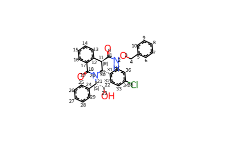 O=C(NOCc1ccccc1)[C@@H]1c2ccccc2C(=O)N([C@H](CO)c2ccccc2)[C@H]1c1ccc(Cl)cc1